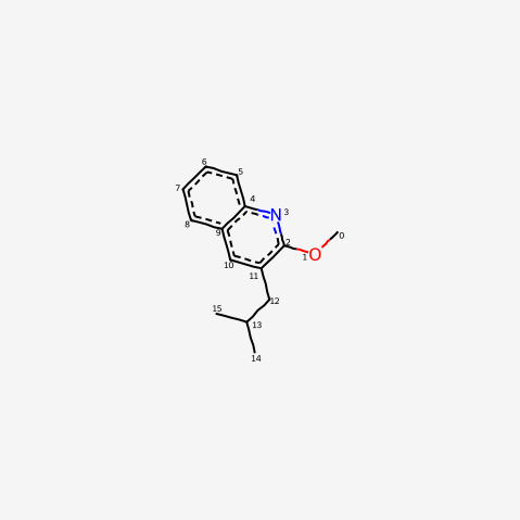 COc1nc2ccccc2cc1CC(C)C